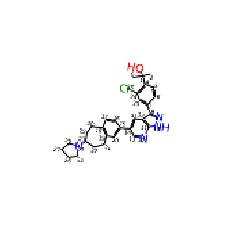 CC(C)(O)c1ccc(-c2n[nH]c3ncc(-c4ccc5c(c4)CCC(N4CCCC4)CC5)cc23)cc1Cl